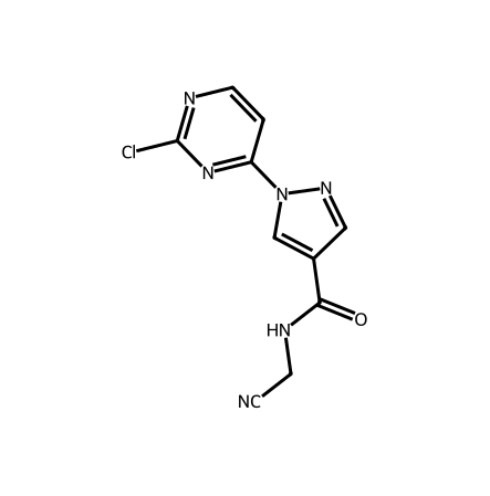 N#CCNC(=O)c1cnn(-c2ccnc(Cl)n2)c1